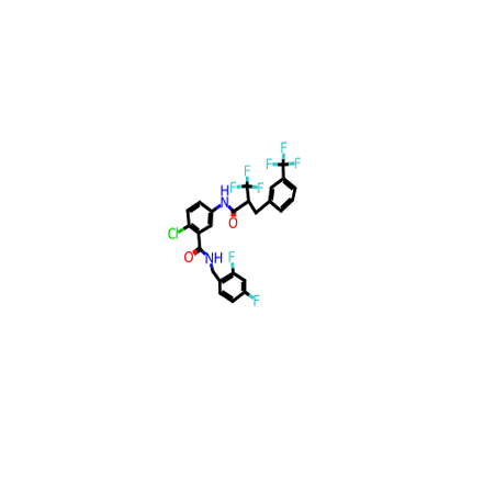 O=C(NCc1ccc(F)cc1F)c1cc(NC(=O)C(Cc2cccc(C(F)(F)F)c2)C(F)(F)F)ccc1Cl